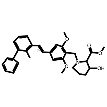 COC(=O)C1C(O)CCCN1Cc1c(OC)cc(/C=C/c2cccc(-c3ccccc3)c2C)cc1OC